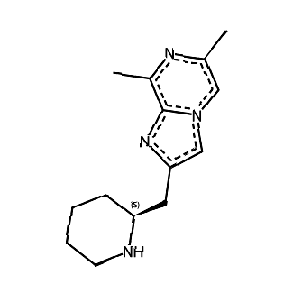 Cc1cn2cc(C[C@@H]3CCCCN3)nc2c(C)n1